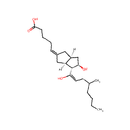 CCCCC(C)C/C=C(/O)[C@@H]1[C@H]2C/C(=C/CCCC(=O)O)C[C@H]2C[C@H]1O